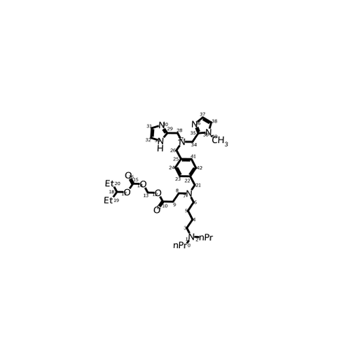 CCCN(CCC)CCCCN(CCC(=O)OCOC(=O)OC(CC)CC)Cc1ccc(CN(Cc2ncc[nH]2)Cc2nccn2C)cc1